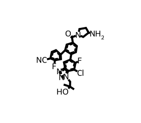 CC(C)(O)Cn1nnc2cc(-c3ccc(C(=O)N4CCC(N)C4)cc3-c3ccc(C#N)c(F)c3)c(F)c(Cl)c21